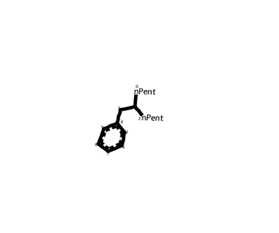 CCCCC[C](CCCCC)Cc1ccccc1